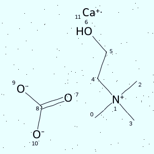 C[N+](C)(C)CCO.O=C([O-])[O-].[Ca+]